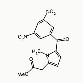 COC(=O)Cc1ccc(C(=O)c2cc([N+](=O)[O-])cc([N+](=O)[O-])c2)n1C